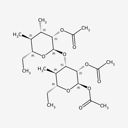 CC[C@H]1O[C@H](O[C@H]2[C@H](C)[C@@H](CC)O[C@H](OC(C)=O)[C@H]2OC(C)=O)[C@@H](OC(C)=O)[C@@H](C)[C@@H]1C